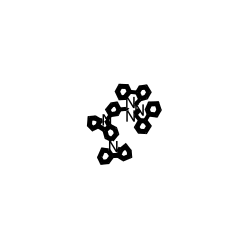 c1ccc(-c2ccccc2-c2nc(-c3cccc(-n4c5ccccc5c5cc(-n6c7ccccc7c7ccccc76)ccc54)c3)nc(-c3ccccc3-c3ccccc3)n2)cc1